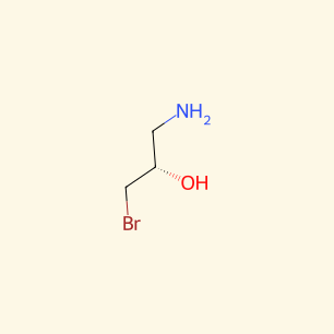 NC[C@H](O)CBr